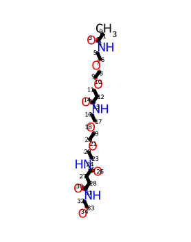 CCC(=O)NCCOCCOCCC(=O)NCCOCCOCCNC(=O)CCC(=O)NCC=O